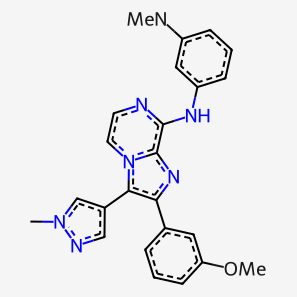 CNc1cccc(Nc2nccn3c(-c4cnn(C)c4)c(-c4cccc(OC)c4)nc23)c1